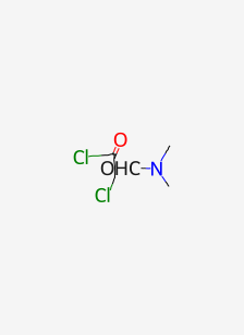 CN(C)C=O.O=C(Cl)CCl